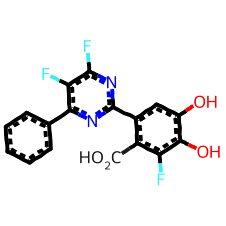 O=C(O)c1c(-c2nc(F)c(F)c(-c3ccccc3)n2)cc(O)c(O)c1F